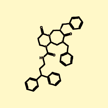 O=C1[C@H](Cc2ccccc2)CN2C(=O)CCN(C(=O)NCCC(c3ccccc3)c3ccccc3)C2CN1Cc1ccccc1